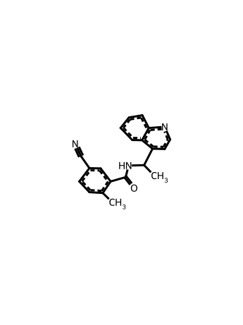 Cc1ccc(C#N)cc1C(=O)NC(C)c1ccnc2ccccc12